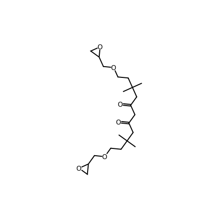 CC(C)(CCOCC1CO1)CC(=O)CC(=O)CC(C)(C)CCOCC1CO1